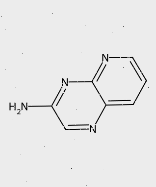 Nc1cnc2cccnc2n1